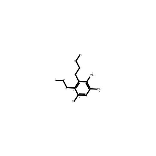 CCCCc1c(O)c(O)cc(C)c1CCC